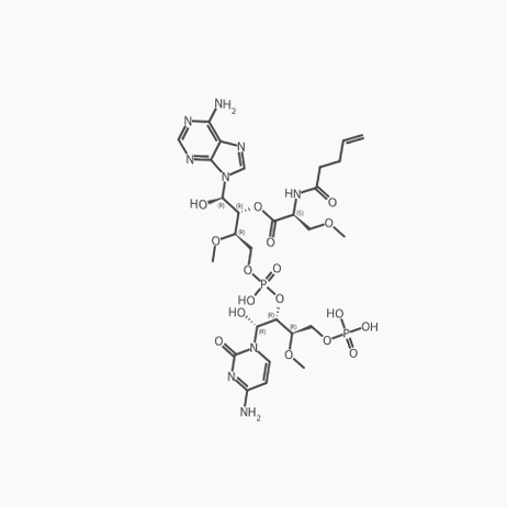 C=CCCC(=O)N[C@@H](COC)C(=O)O[C@@H]([C@@H](O)n1cnc2c(N)ncnc21)[C@@H](COP(=O)(O)O[C@@H]([C@@H](O)n1ccc(N)nc1=O)[C@@H](COP(=O)(O)O)OC)OC